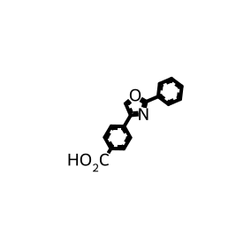 O=C(O)c1ccc(-c2coc(-c3ccccc3)n2)cc1